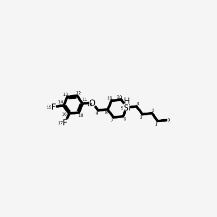 CCCCC[SiH]1CCC(COc2ccc(F)c(F)c2)CC1